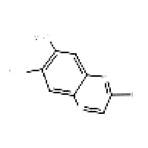 CCc1cnc2cc(OC)c(OC)cc2n1